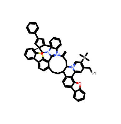 C=C1CC2C(CCc3ccc4c(sc5ccccc54)c3-c3n(C[C@]4(C)C=C(c5ccccc5)C=C4C)c4ccccc4[n+]31)c1ccc3c(oc4ccccc43)c1-c1cc(CC(C)C)c([Si](C)(C)C)c[n+]12